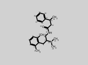 Cc1cccc(C)c1CC(CNC(=O)CC(C)c1ccccc1)N(C)C